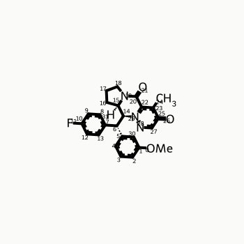 COc1cccc([C@H](c2ccc(F)cc2)[C@H]2[C@H]3CCCN3C(=O)c3c(C)c(=O)cnn32)c1